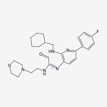 O=C/C(=N\c1ccc(-c2ccc(F)cc2)nc1NCC1CCCCC1)NCCN1CCOCC1